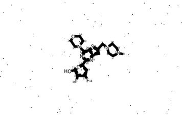 CN1CCN(Cc2cc3nc(-c4cc(O)c(F)c(F)c4)nc(N4CCOCC4)c3s2)CC1